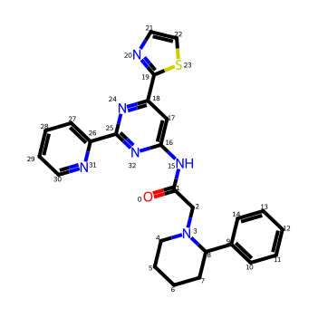 O=C(CN1CCCCC1c1ccccc1)Nc1cc(-c2nccs2)nc(-c2ccccn2)n1